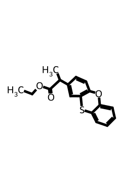 CCOC(=O)C(C)c1ccc2c(c1)Sc1ccccc1O2